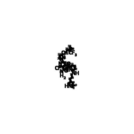 CC1(C)CC(CCCNc2cccc(S(=O)(=O)c3cc(-n4ccc(OCCC5(C(F)(F)F)CC5)n4)nc(Cl)c3C(N)=O)n2)CN1